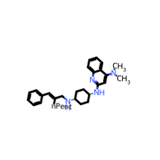 CCCCC/C(=C\c1ccccc1)CN[C@H]1CC[C@@H](Nc2cc(N(C)C)c3ccccc3n2)CC1